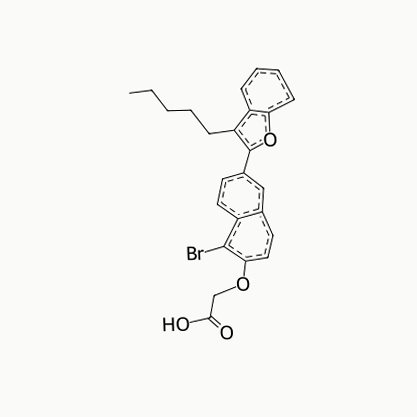 CCCCCc1c(-c2ccc3c(Br)c(OCC(=O)O)ccc3c2)oc2ccccc12